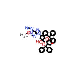 COn1cnc2c(ncn2[C@H]2C[C@H](OC(c3ccccc3)(c3ccccc3)c3ccccc3)[C@](O)(COC(c3ccccc3)(c3ccccc3)c3ccccc3)C2)c1=NC#N